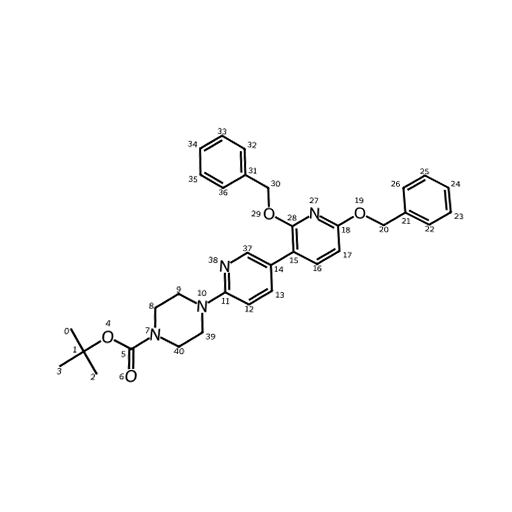 CC(C)(C)OC(=O)N1CCN(c2ccc(-c3ccc(OCc4ccccc4)nc3OCc3ccccc3)cn2)CC1